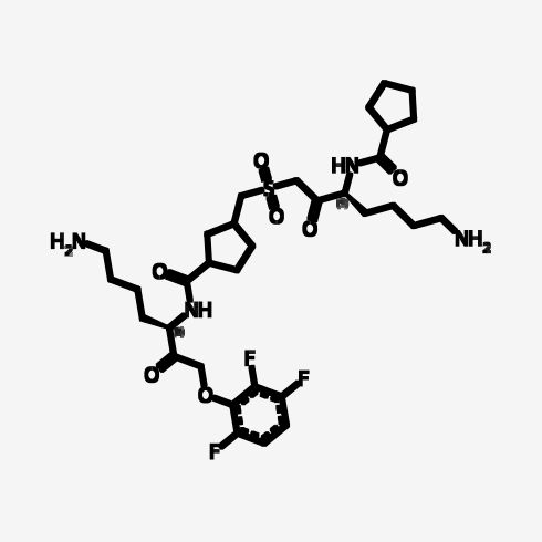 NCCCC[C@H](NC(=O)C1CCCC1)C(=O)CS(=O)(=O)CC1CCC(C(=O)N[C@H](CCCCN)C(=O)COc2c(F)ccc(F)c2F)C1